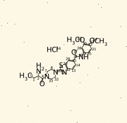 CCC(N)C(=O)N1CCN(c2nc3ccc(C(=O)Nc4ccc(OC)c(OC)c4)cc3s2)CC1.Cl